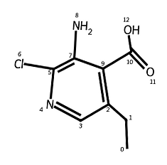 CCc1cnc(Cl)c(N)c1C(=O)O